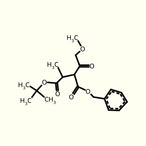 COCC(=O)C(C(=O)OCc1ccccc1)C(C)C(=O)OC(C)(C)C